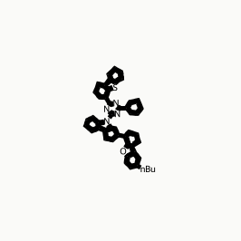 CCCCc1ccc2oc3c(-c4ccc5c6ccccc6n(-c6nc(-c7ccccc7)nc(-c7cccc8c7sc7ccccc78)n6)c5c4)cccc3c2c1